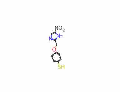 Cn1c([N+](=O)[O-])cnc1COc1ccc(S)cc1